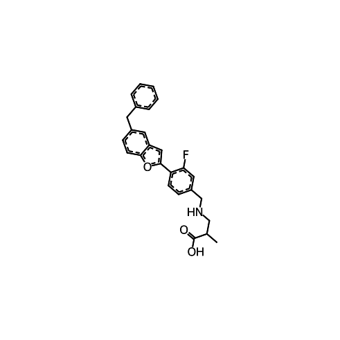 CC(CNCc1ccc(-c2cc3cc(Cc4ccccc4)ccc3o2)c(F)c1)C(=O)O